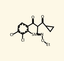 CCON=CC(C(=O)c1ccc(Cl)c(Cl)c1SC)C(=O)C1CC1